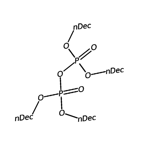 CCCCCCCCCCOP(=O)(OCCCCCCCCCC)OP(=O)(OCCCCCCCCCC)OCCCCCCCCCC